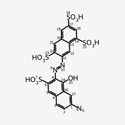 [N]c1ccc2cc(S(=O)(=O)O)c(/N=N/c3cc4c(S(=O)(=O)O)cc(S(=O)(=O)O)cc4cc3S(=O)(=O)O)c(O)c2c1